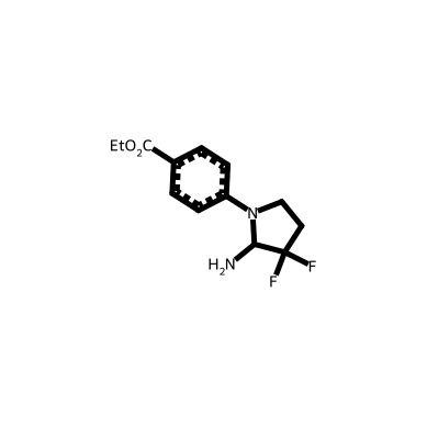 CCOC(=O)c1ccc(N2CCC(F)(F)C2N)cc1